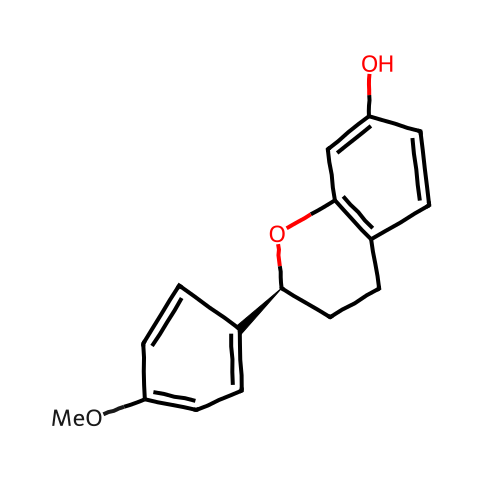 COc1ccc([C@@H]2CCc3ccc(O)cc3O2)cc1